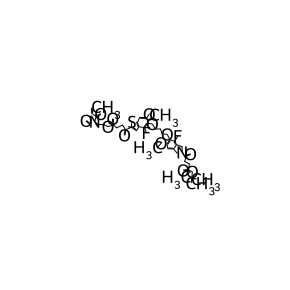 C/C=C\C(=O)N(C=O)CCOC(=O)CCC(=O)c1cc2c(F)c(OCCCOc3c(OC)cc4c(c3F)CN(C(=O)CCC(=O)OC(C)(C)C)C4)c(OC)cc2s1